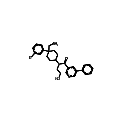 NCC1(c2cccc(Cl)c2)CCC(N(CCO)C(=O)c2cncc(-c3ccccc3)c2)CC1